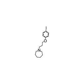 Ic1ccc(OCCCN2CCCCCC2)cc1